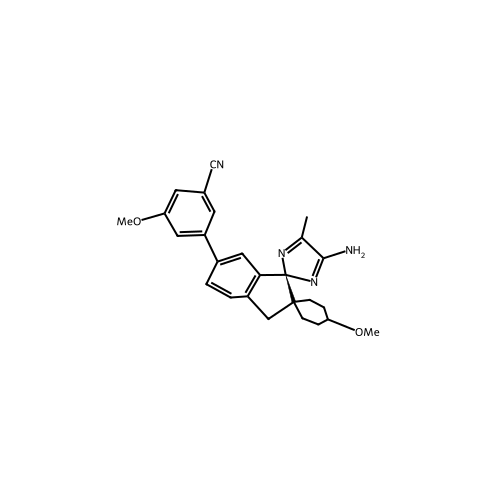 COc1cc(C#N)cc(-c2ccc3c(c2)[C@@]2(N=C(C)C(N)=N2)C2(CCC(OC)CC2)C3)c1